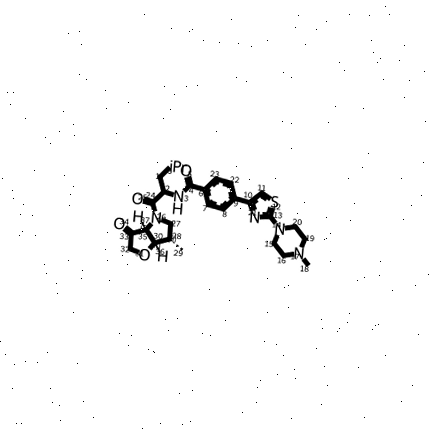 CC(C)CC(NC(=O)c1ccc(-c2csc(N3CCN(C)CC3)n2)cc1)C(=O)N1C[C@H](C)[C@H]2OCC(=O)[C@H]21